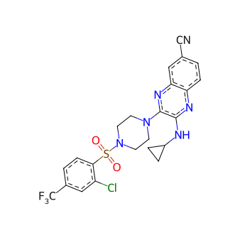 N#Cc1ccc2nc(NC3CC3)c(N3CCN(S(=O)(=O)c4ccc(C(F)(F)F)cc4Cl)CC3)nc2c1